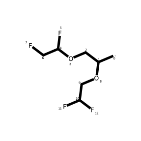 [CH2]C(COC(F)CF)OCC(F)F